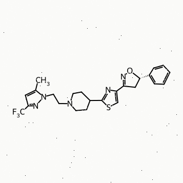 Cc1cc(C(F)(F)F)nn1CCN1CCC(c2nc(C3=NO[C@H](c4ccccc4)C3)cs2)CC1